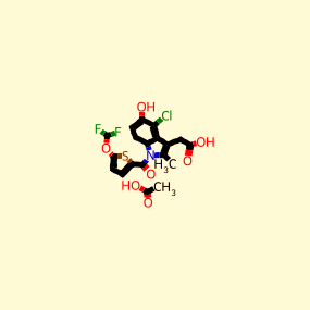 CC(=O)O.CC1=C(CC(=O)O)C2=C(Cl)C(O)=CCC2N1C(=O)c1ccc(OC(F)F)s1